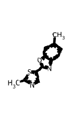 Cc1ccc2nc(-c3cnc(C)s3)oc2c1